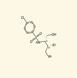 CC[C@H](CC(C)C)[C@@H](CO)NS(=O)(=O)c1ccc(Cl)cc1